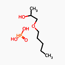 CCCCCOCC(C)O.O=[PH](O)O